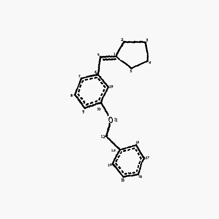 C(=C1CCCC1)c1cccc(OCc2ccccc2)c1